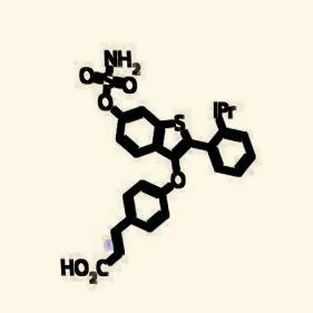 CC(C)c1ccccc1-c1sc2cc(OS(N)(=O)=O)ccc2c1Oc1ccc(/C=C/C(=O)O)cc1